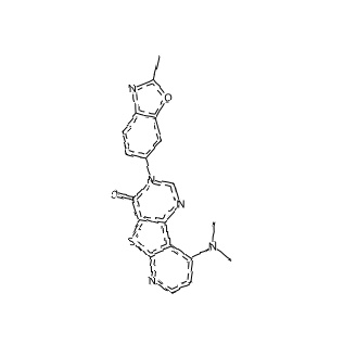 Cc1nc2ccc(-n3cnc4c(sc5nccc(N(C)C)c54)c3=O)cc2o1